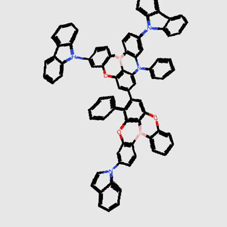 c1ccc(-c2c(-c3cc4c5c(c3)N(c3ccccc3)c3cc(-n6c7ccccc7c7ccccc76)ccc3B5c3ccc(-n5c6ccccc6c6ccccc65)cc3O4)cc3c4c2Oc2cc(-n5ccc6ccccc65)ccc2B4c2ccccc2O3)cc1